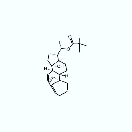 C[C@H](OC(=O)C(C)(C)C)[C@H]1CC[C@]2(O)[C@@H]3C=CC4=CCCC[C@]4(C=O)[C@H]3CC[C@]12C